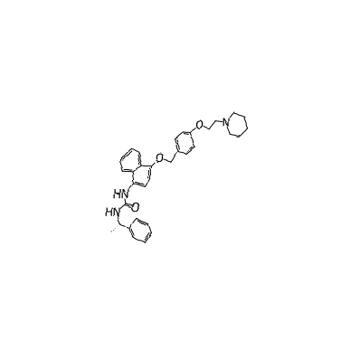 C[C@H](NC(=O)Nc1ccc(OCc2ccc(OCCN3CCCCC3)cc2)c2ccccc12)c1ccccc1